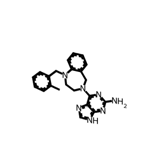 Cc1ccccc1CN1CCN(c2nc(N)nc3[nH]cnc23)Cc2ccccc21